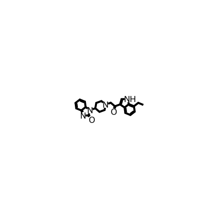 CCc1cccc2c(C(=O)CN3CCC(N4C(=O)N=C5C=CC=CC54)CC3)c[nH]c12